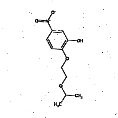 CC(C)OCCOc1ccc([N+](=O)[O-])cc1O